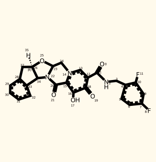 O=C(NCc1ccc(F)cc1F)c1cn2c(c(O)c1=O)C(=O)N1C(C2)O[C@@H]2Cc3ccccc3C21